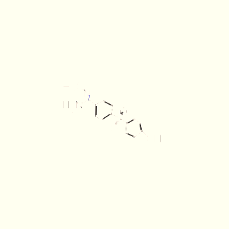 C/N=C(\N)c1ccc(S(=O)(=O)c2ccc(C)cc2)cc1